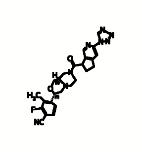 Cc1c([C@H]2CN3CCN(C(=O)C4CCc5cc(-n6cnnn6)ncc54)C[C@H]3CO2)ccc(C#N)c1F